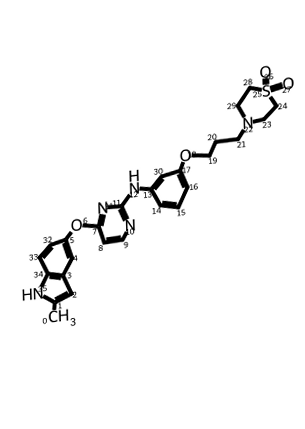 Cc1cc2cc(Oc3ccnc(Nc4cccc(OCCCN5CCS(=O)(=O)CC5)c4)n3)ccc2[nH]1